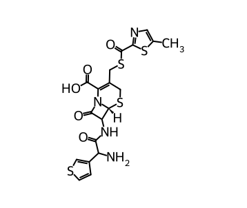 Cc1cnc(C(=O)SCC2=C(C(=O)O)N3C(=O)C(NC(=O)C(N)c4ccsc4)[C@H]3SC2)s1